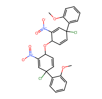 COc1ccccc1C1(Cl)C=CC(OC2C=CC(Cl)(c3ccccc3OC)C=C2[N+](=O)[O-])C([N+](=O)[O-])=C1